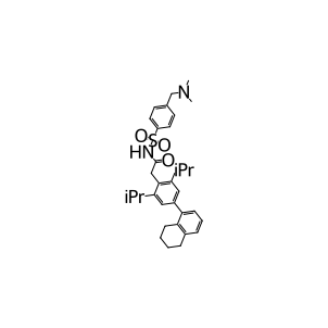 CC(C)c1cc(-c2cccc3c2CCCC3)cc(C(C)C)c1CC(=O)NS(=O)(=O)c1ccc(CN(C)C)cc1